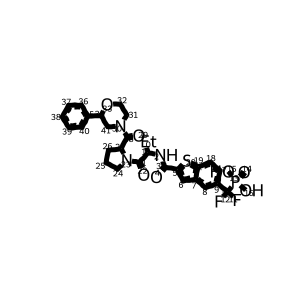 CCC(NC(=O)c1cc2cc(C(F)(F)P(=O)(O)O)ccc2s1)C(=O)N1CCCC1C(=O)N1CCOC(c2ccccc2)C1